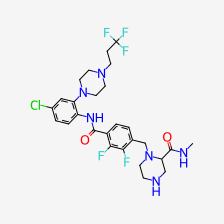 CNC(=O)C1CNCCN1Cc1ccc(C(=O)Nc2ccc(Cl)cc2N2CCN(CCC(F)(F)F)CC2)c(F)c1F